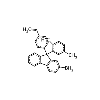 Bc1ccc2c(c1)C(c1ccc(C=C)cc1)(c1cc(C)ccc1C)c1ccccc1-2